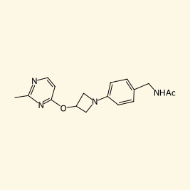 CC(=O)NCc1ccc(N2CC(Oc3ccnc(C)n3)C2)cc1